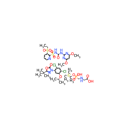 CC(C)Oc1cc(-n2nc(C(C)(C)C)oc2=O)c(Cl)cc1Cl.CCS(=O)(=O)c1cccnc1S(=O)(=O)NC(=O)Nc1nc(OC)cc(OC)n1.C[S+](C)C.O=C(O)CNCP(=O)([O-])O